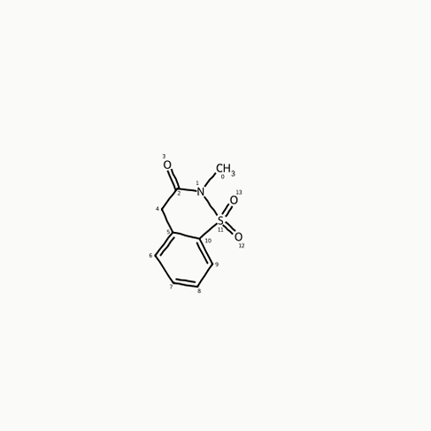 CN1C(=O)Cc2ccccc2S1(=O)=O